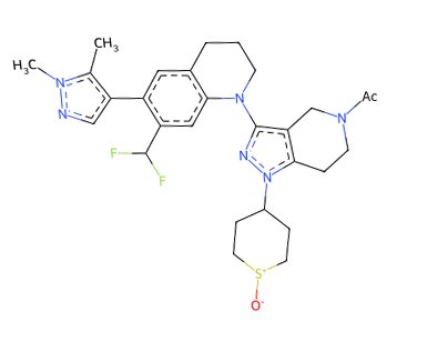 CC(=O)N1CCc2c(c(N3CCCc4cc(-c5cnn(C)c5C)c(C(F)F)cc43)nn2C2CC[S+]([O-])CC2)C1